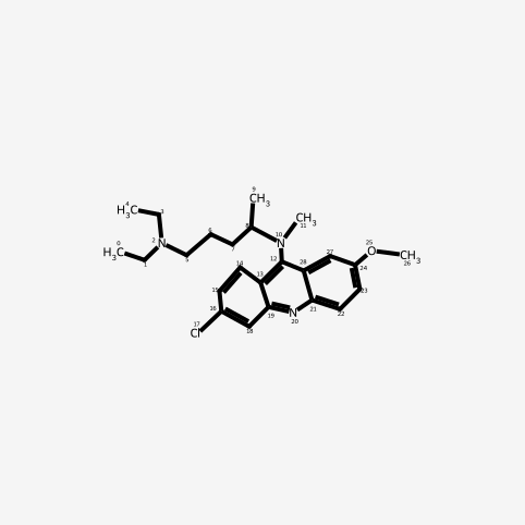 CCN(CC)CCCC(C)N(C)c1c2ccc(Cl)cc2nc2ccc(OC)cc12